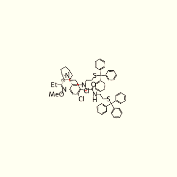 CCC(=NOC)[C@@H]1C2CCC(C[C@@H]1c1ccc(Cl)c(Cl)c1)N2CCCN(CCSC(c1ccccc1)(c1ccccc1)c1ccccc1)CC(=O)NCCSC(c1ccccc1)(c1ccccc1)c1ccccc1